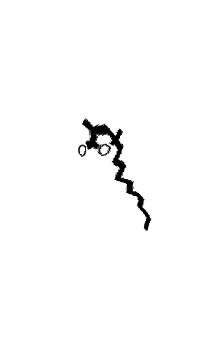 CCCCCCCCCCC1(C)C=C(C)C(=O)O1